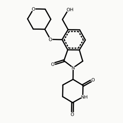 O=C1CCC(N2Cc3ccc(CO)c(OC4CCOCC4)c3C2=O)C(=O)N1